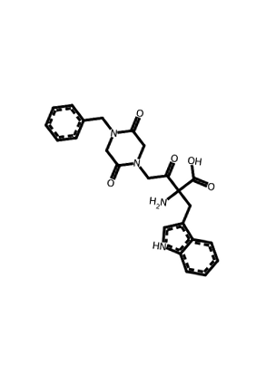 NC(Cc1c[nH]c2ccccc12)(C(=O)O)C(=O)CN1CC(=O)N(Cc2ccccc2)CC1=O